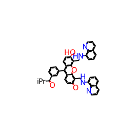 CC(C)C(=O)c1cccc(-c2c3ccc(=O)c(CNc4cccc5cccnc45)c-3oc3c(CNc4cccc5cccnc45)c(O)ccc23)c1